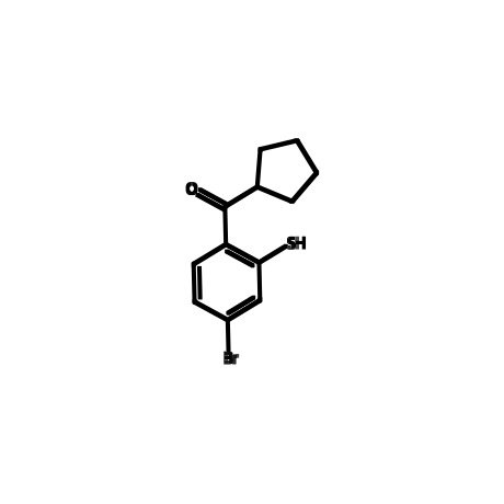 O=C(c1ccc(Br)cc1S)C1CCCC1